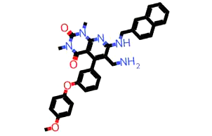 COc1ccc(Oc2cccc(-c3c(CN)c(NCc4ccc5ccccc5c4)nc4c3c(=O)n(C)c(=O)n4C)c2)cc1